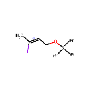 C/C(I)=C/CO[Si](C(C)C)(C(C)C)C(C)C